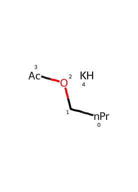 CCCCOC(C)=O.[KH]